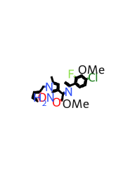 C=C(/N=C(/C(=O)OC)c1cc(C)n(Cc2ccco2)c1N)c1ccc(Cl)c(OC)c1F